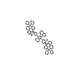 Fc1ccccc1N(c1ccc(-c2c3c(c(-c4ccc(N(c5ccccc5F)c5cccc6c5-c5ccccc5C6(c5ccccc5)c5ccccc5)cc4)c4ccccc24)-c2cccc4cccc-3c24)cc1)c1cccc2c1-c1ccccc1C2(c1ccccc1)c1ccccc1